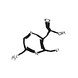 Cc1cnc(C(=O)O)c(Cl)n1